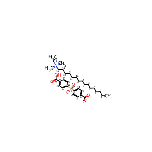 CCCCCCCCCCCCCCCC[N+](C)(C)CC.O=C([O-])c1ccc(S(=O)(=O)c2ccc(C(=O)O)cc2)cc1